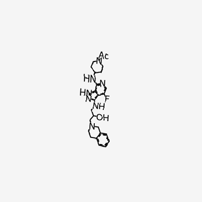 CC(=O)N1CCC(Nc2ncc(F)c3c(NCC(O)CN4CCc5ccccc5C4)n[nH]c23)CC1